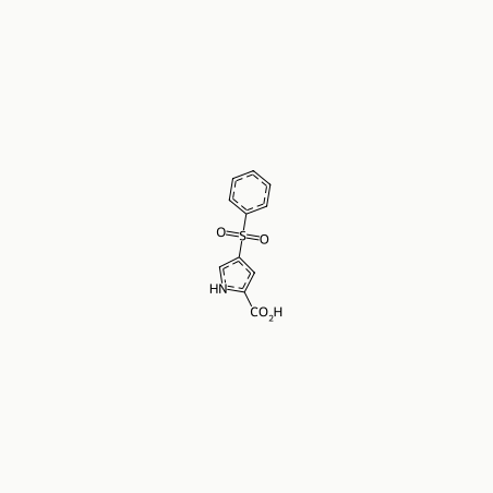 O=C(O)c1cc(S(=O)(=O)c2ccccc2)c[nH]1